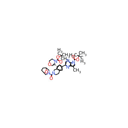 Cc1cn(C(=O)OC(C)(C)C)c2ncc(-c3cc4c(c([C@@H]5COCCN5C(=O)OC(C)(C)C)c3)CN(C(=O)N3CC5CCC(C3)O5)CC4)nc12